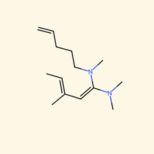 C=CCCCN(C)/C(=C\C(C)=CC)N(C)C